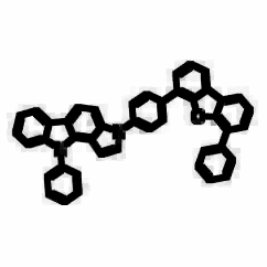 c1ccc(-c2cccc3c2oc2c(-c4ccc(-n5ccc6c5ccc5c7ccccc7n(-c7ccccc7)c56)cc4)cccc23)cc1